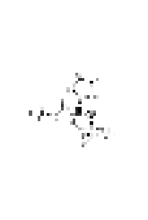 CCO[Si](CC1CC1)(OCC)C1CCCC1